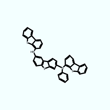 c1ccc(N(c2ccc3c(c2)sc2ccc(Nc4cccc5c4sc4ccccc45)cc23)c2cccc3c2sc2ccccc23)cc1